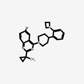 CC1(c2nc(N3CCC(c4ccccc4N4CCC4)CC3)c3cc(Br)ccc3n2)CC1